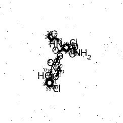 C[C@@H]1N(C(=O)OCOC(=O)c2cc(S(N)(=O)=O)c(Cl)cc2NCc2ccco2)C(C)(C)CO[C@@]1(O)c1cccc(Cl)c1